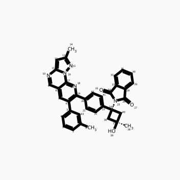 Cc1cccc(-c2cc3cnc4cc(C)nn4c3nc2-c2ccc([C@]3(N4C(=O)c5ccccc5C4=O)C[C@](C)(O)C3)cc2)c1